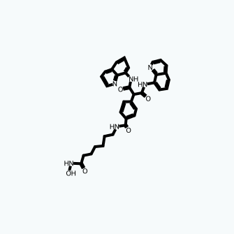 O=C(CCCCCCNC(=O)c1ccc(C(C(=O)Nc2cccc3cccnc23)C(=O)Nc2cccc3cccnc23)cc1)NO